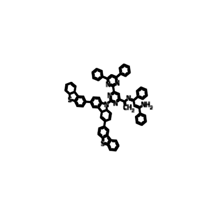 C=C(/N=C(\C=C(/N)c1ccccc1)c1ccccc1)c1cc(-c2nc(-c3ccccc3)cc(-c3ccccc3)n2)nc(N2c3ccc(-c4ccc5c(c4)C4C=CC=CC4S5)cc3C3C=C(c4ccc5sc6ccccc6c5c4)C=CC32)n1